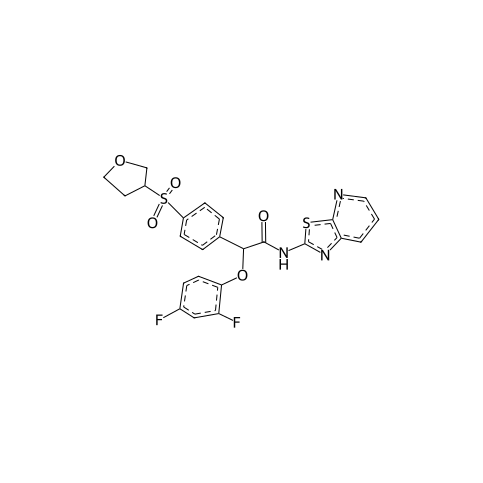 O=C(Nc1nc2cccnc2s1)C(Oc1ccc(F)cc1F)c1ccc(S(=O)(=O)C2CCOC2)cc1